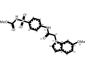 COC(=O)NS(=O)(=O)c1ccc(NC(=O)Cn2ccc3ccc(OC)cc32)cc1